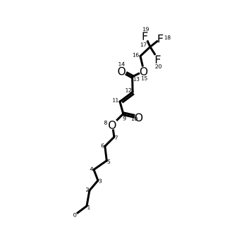 CCCCCCCCOC(=O)/C=C/C(=O)OCC(F)(F)F